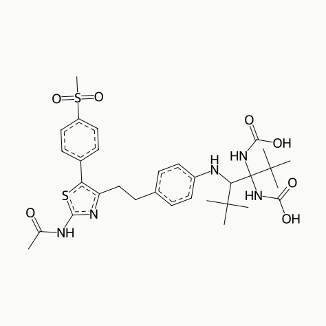 CC(=O)Nc1nc(CCc2ccc(NC(C(C)(C)C)C(NC(=O)O)(NC(=O)O)C(C)(C)C)cc2)c(-c2ccc(S(C)(=O)=O)cc2)s1